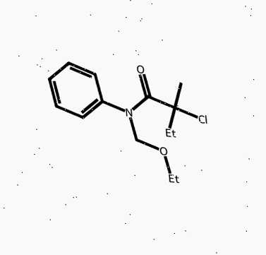 CCOCN(C(=O)C(C)(Cl)CC)c1ccccc1